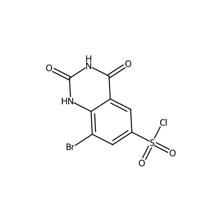 O=c1[nH]c(=O)c2cc(S(=O)(=O)Cl)cc(Br)c2[nH]1